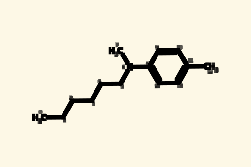 CCCCCCN(C)c1ccc(C)cc1